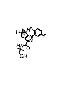 CC(C)(CO)NC(=O)c1nn(-c2cc(F)ccc2F)c2c1C[C@H]1C[C@@H]21